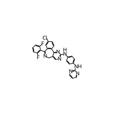 Fc1cccc(F)c1C1=NCc2cnc(Nc3ccc(Nc4ncccn4)cc3)nc2-c2ccc(Cl)cc21